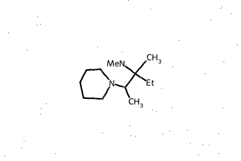 CCC(C)(NC)C(C)N1CCCCC1